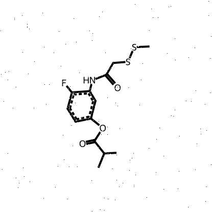 CSSCC(=O)Nc1cc(OC(=O)C(C)C)ccc1F